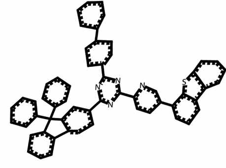 c1ccc(-c2ccc(-c3nc(-c4ccc5c(c4)C(c4ccccc4)(c4ccccc4)c4ccccc4-5)nc(-c4ccc(-c5cccc6c5sc5ccccc56)cn4)n3)cc2)cc1